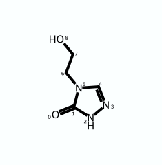 O=c1[nH]ncn1CCO